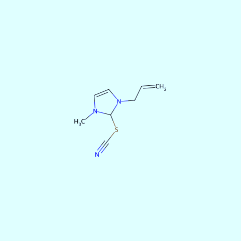 C=CCN1C=CN(C)C1SC#N